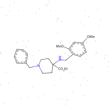 CCOC(=O)C1(NCc2ccc(OC)cc2OC)CCN(Cc2ccccc2)CC1